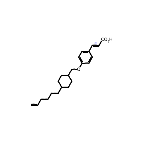 C=CCCCCC1CCC(COc2ccc(/C=C/C(=O)O)cc2)CC1